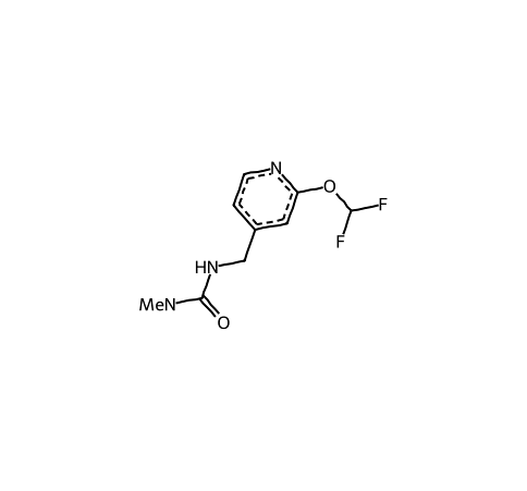 CNC(=O)NCc1ccnc(OC(F)F)c1